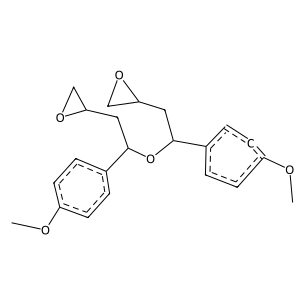 COc1ccc(C(CC2CO2)OC(CC2CO2)c2ccc(OC)cc2)cc1